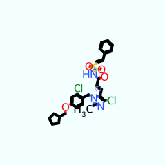 Cc1nc(Cl)c(/C=C/C(=O)NS(=O)(=O)C=Cc2ccccc2)n1Cc1ccc(OCC2CCCC2)cc1Cl